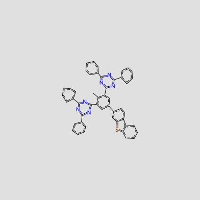 Cc1c(-c2nc(-c3ccccc3)nc(-c3ccccc3)n2)cc(-c2ccc3c(c2)sc2ccccc23)cc1-c1nc(-c2ccccc2)nc(-c2ccccc2)n1